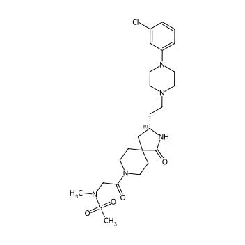 CN(CC(=O)N1CCC2(CC1)C[C@H](CCN1CCN(c3cccc(Cl)c3)CC1)NC2=O)S(C)(=O)=O